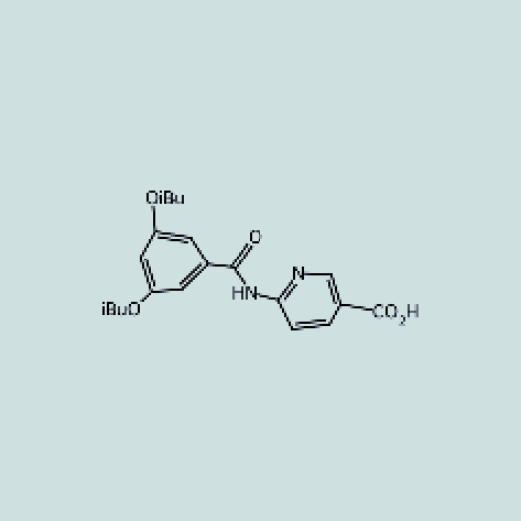 CC(C)COc1cc(OCC(C)C)cc(C(=O)Nc2ccc(C(=O)O)cn2)c1